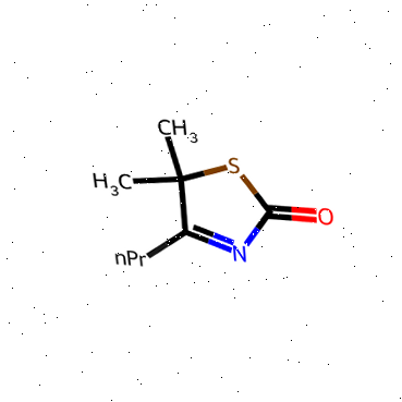 CCCC1=NC(=O)SC1(C)C